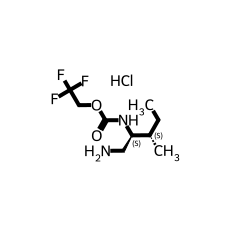 CC[C@H](C)[C@@H](CN)NC(=O)OCC(F)(F)F.Cl